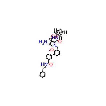 COc1c(CN2C[C@@H](CN)[C@@H]([C@H](C)O)[C@H]2C(=O)N[C@H]2C[C@H]3C[C@@H]([C@@H]2C)C3(C)C)cccc1-c1cccc(C(=O)NCCc2ccccc2)c1